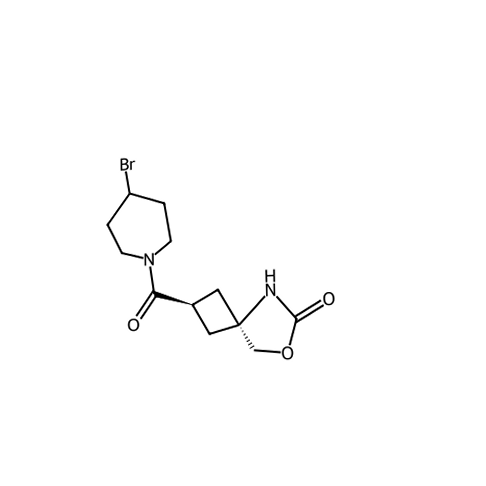 O=C1N[C@]2(CO1)C[C@H](C(=O)N1CCC(Br)CC1)C2